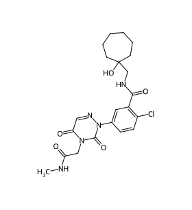 CNC(=O)Cn1c(=O)cnn(-c2ccc(Cl)c(C(=O)NCC3(O)CCCCCC3)c2)c1=O